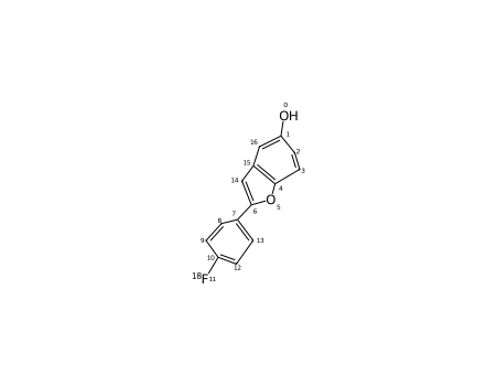 Oc1ccc2oc(-c3ccc([18F])cc3)cc2c1